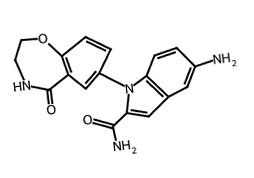 NC(=O)c1cc2cc(N)ccc2n1-c1ccc2c(c1)C(=O)NCCO2